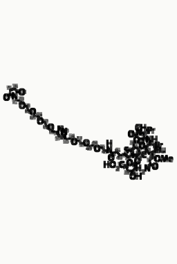 CC[C@H](C)[C@@H]([C@@H](CC(N)=O)OC)N(C)C(=O)[C@@H](NC(=O)[C@H](C(C)C)N(C)C(=O)OCc1ccc(O[C@H]2C[C@@H](O)C[C@@H](C(=O)O)O2)c2cc(CCC(=O)NCCOCCOCCOCCn3cc(COCCOCCOCCOCCN4C(=O)C=CC4=O)nn3)sc12)C(C)C